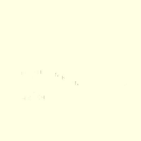 CC1(C)c2ccccc2C(C)(C)c2cc3c(cc21)-c1cc2ccccc2c2c1B(c1cc(C45CC6CC(CC(C6)C4)C5)cc4c5cc(C67CC8CC(CC(C8)C6)C7)ccc5n-2c14)N3c1ccc(-c2ccccc2)cc1